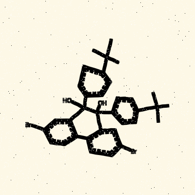 CC(C)(C)c1ccc(C2(O)c3cc(Br)ccc3-c3ccc(Br)cc3C2(O)c2ccc(C(C)(C)C)cc2)cc1